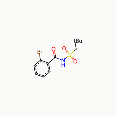 CC(C)(C)CS(=O)(=O)NC(=O)c1ccccc1Br